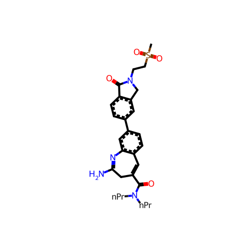 CCCN(CCC)C(=O)C1=Cc2ccc(-c3ccc4c(c3)CN(CCS(C)(=O)=O)C4=O)cc2N=C(N)C1